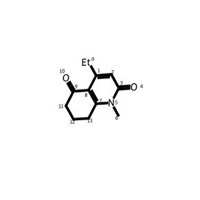 CCc1cc(=O)n(C)c2c1C(=O)CCC2